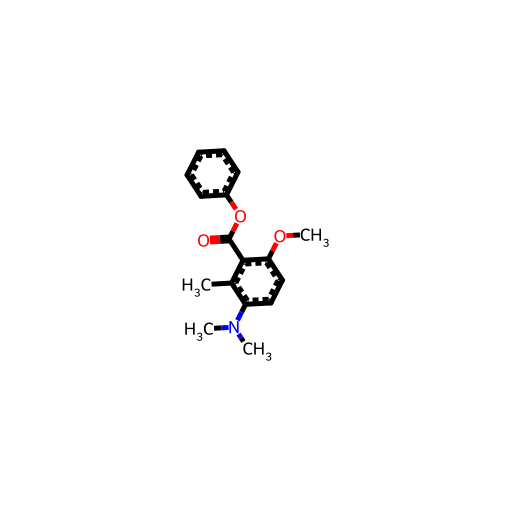 COc1ccc(N(C)C)c(C)c1C(=O)Oc1ccccc1